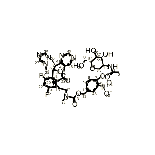 CC(=O)N[C@H]1[C@H](Oc2ccc(COC(=O)N(C)CCN(C)C(=O)O[C@@](Cn3cncn3)(c3ccc(F)cc3F)[C@@H](C)c3ncncc3F)cc2[N+](=O)[O-])O[C@H](CO)C(O)[C@@H]1O